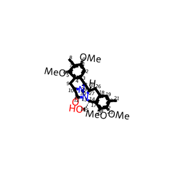 COc1cc2c(c(OC)c1C)CC1C(=O)N3[C@@H](CO)c4c(cc(C)c(OC)c4OC)C[C@H]3C2N1C